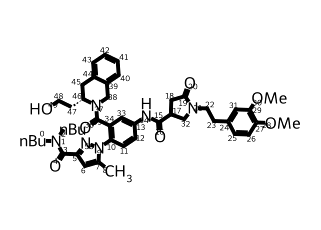 CCCCN(CCCC)C(=O)c1cc(C)n(-c2ccc(NC(=O)C3CC(=O)N(CCc4ccc(OC)c(OC)c4)C3)cc2C(=O)N2Cc3ccccc3C[C@H]2CCO)n1